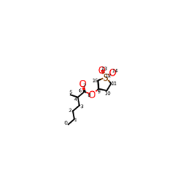 CCCCC(C)C(=O)OC1CCS(=O)(=O)C1